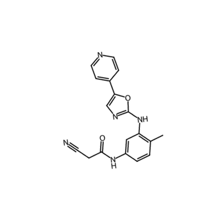 Cc1ccc(NC(=O)CC#N)cc1Nc1ncc(-c2ccncc2)o1